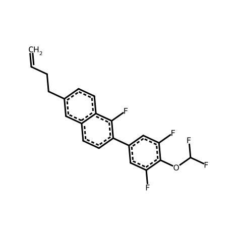 C=CCCc1ccc2c(F)c(-c3cc(F)c(OC(F)F)c(F)c3)ccc2c1